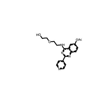 CC(=O)Oc1ccc2nc(-c3ccncc3)nc(NCCOCCO)c2c1